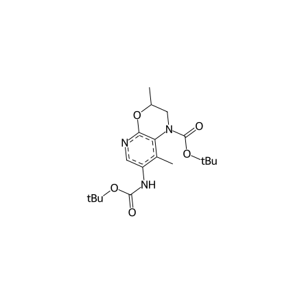 Cc1c(NC(=O)OC(C)(C)C)cnc2c1N(C(=O)OC(C)(C)C)CC(C)O2